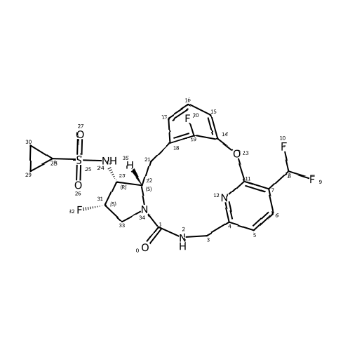 O=C1NCc2ccc(C(F)F)c(n2)Oc2cccc(c2F)C[C@H]2[C@@H](NS(=O)(=O)C3CC3)[C@@H](F)CN12